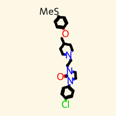 CSc1ccc(OCC2CCN(CCN3CCN(c4ccc(Cl)cc4)C3=O)CC2)cc1